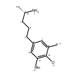 C[C@H](N)CCCc1cc(F)c(Cl)c(C(C)(C)C)c1